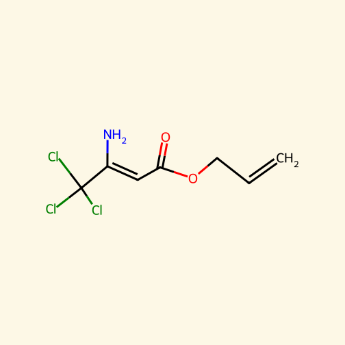 C=CCOC(=O)C=C(N)C(Cl)(Cl)Cl